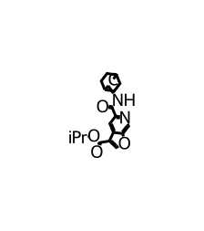 CC(C)OC(=O)c1coc2cnc(C(=O)NC3CC4CCC3CC4)cc12